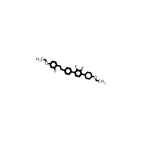 CCOc1ccc(CCc2ccc(-c3ccc(C4CCC(OCC)CC4)c(F)c3F)cc2)c(F)c1